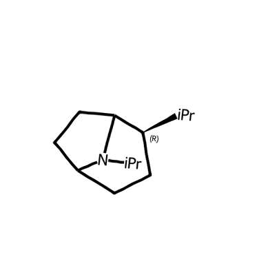 CC(C)[C@H]1CCC2CCC1N2C(C)C